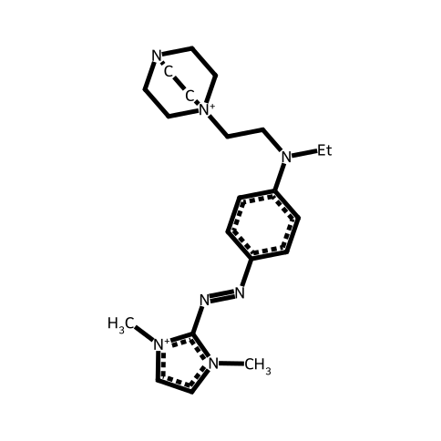 CCN(CC[N+]12CCN(CC1)CC2)c1ccc(N=Nc2n(C)cc[n+]2C)cc1